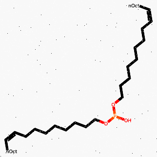 CCCCCCCC/C=C\CCCCCCCCOP(O)OCCCCCCCC/C=C\CCCCCCCC